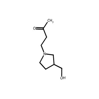 CC(=O)CCN1CCC(CO)C1